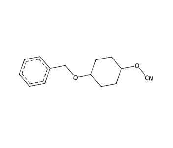 N#COC1CCC(OCc2ccccc2)CC1